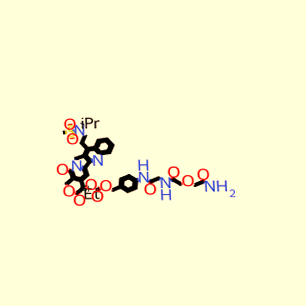 CC[C@@]1(OC(=O)OCc2ccc(NC(=O)CNC(=O)COCC(N)=O)cc2)C(=O)OCc2c1cc1n(c2=O)Cc2c-1nc1ccccc1c2CCN(C(C)C)S(C)(=O)=O